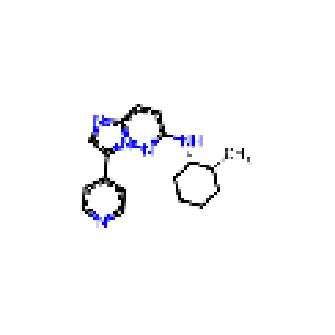 C[C@@H]1CCCC[C@@H]1Nc1ccc2ncc(-c3ccncc3)n2n1